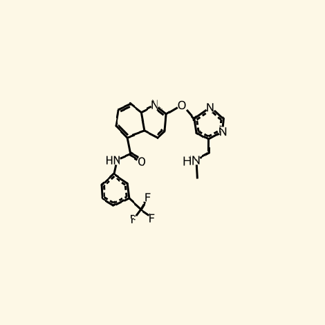 CNCc1cc(OC2=NC3C=CC=C(C(=O)Nc4cccc(C(F)(F)F)c4)C3C=C2)ncn1